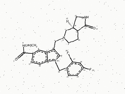 CN(O)C(=O)c1cc2c(CN3CCC4C(=O)NC[C@@H]4C3)cn(Cc3ccc(F)cc3F)c2cn1